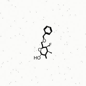 CC1[C@H](O)OC(COCc2ccccc2)[C@@H](F)[C@H]1C